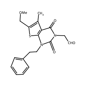 COCc1sc2c(c1C)c(=O)n(CC=O)c(=O)n2CCc1ccccc1